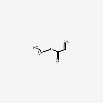 C=CC(=O)O[SiH2]O